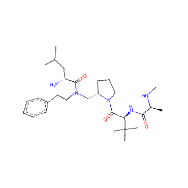 CN[C@@H](C)C(=O)N[C@H](C(=O)N1CCC[C@H]1CN(CCc1ccccc1)C(=O)[C@H](N)CC(C)C)C(C)(C)C